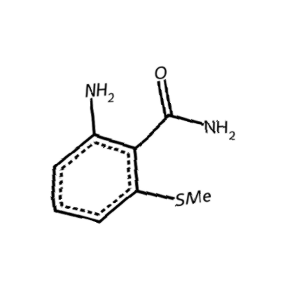 CSc1cccc(N)c1C(N)=O